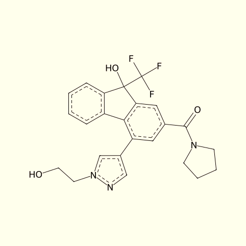 O=C(c1cc(-c2cnn(CCO)c2)c2c(c1)C(O)(C(F)(F)F)c1ccccc1-2)N1CCCC1